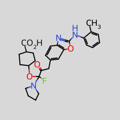 Cc1ccccc1Nc1nc2ccc(CC(=O)C(F)(OC3CCC(C(=O)O)CC3)N3CCCC3)cc2o1